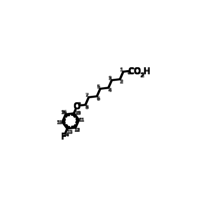 O=C(O)CCCCCCCCOc1ccc(F)cc1